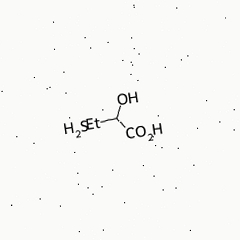 CCC(O)C(=O)O.S